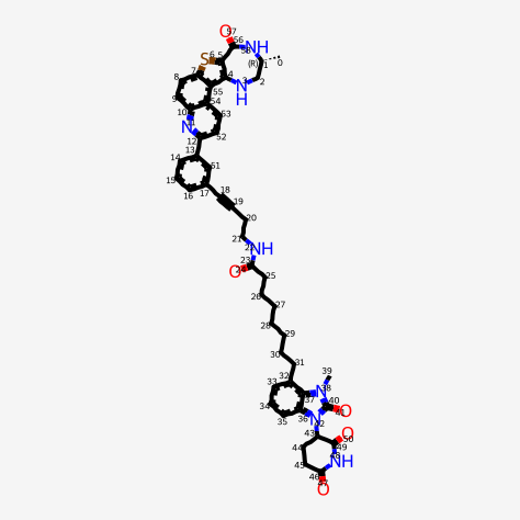 C[C@@H]1CNc2c(sc3ccc4nc(-c5cccc(C#CCCNC(=O)CCCCCCCc6cccc7c6n(C)c(=O)n7C6CCC(=O)NC6=O)c5)ccc4c23)C(=O)N1